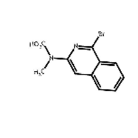 CN(C(=O)O)c1cc2ccccc2c(Br)n1